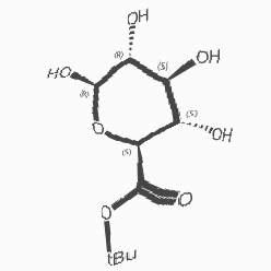 CC(C)(C)OC(=O)[C@H]1O[C@@H](O)[C@H](O)[C@@H](O)[C@@H]1O